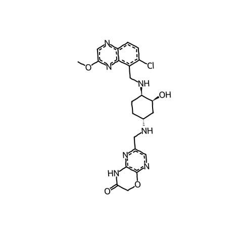 COc1cnc2ccc(Cl)c(CN[C@@H]3CC[C@@H](NCc4cnc5c(n4)NC(=O)CO5)C[C@@H]3O)c2n1